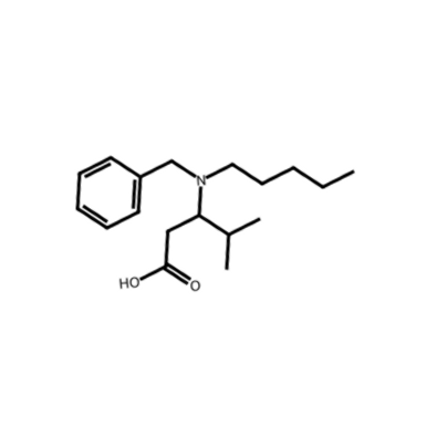 CCCCCN(Cc1ccccc1)C(CC(=O)O)C(C)C